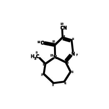 CC1CCCCc2ncc(C#N)c(=O)n21